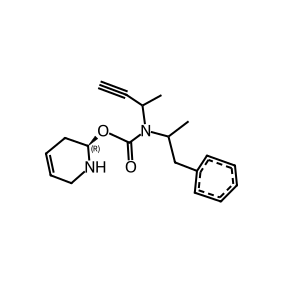 C#CC(C)N(C(=O)O[C@@H]1CC=CCN1)C(C)Cc1ccccc1